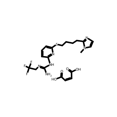 Cn1ccnc1CCCCSc1cccc(NC(N)=NCC(F)(F)F)n1.O=C(O)/C=C\C(=O)O